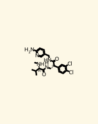 CN[C@@H](C(=O)NC[C@H](C(=O)NCc1ccc(N)nc1)c1ccc(Cl)c(Cl)c1)C(C)C